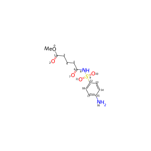 COC(=O)CCCC(=O)NS(=O)(=O)c1ccc(N)cc1